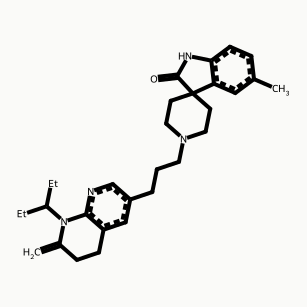 C=C1CCc2cc(CCCN3CCC4(CC3)C(=O)Nc3ccc(C)cc34)cnc2N1C(CC)CC